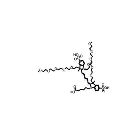 COCCOCCOCCOCCOCCC1(C)C(/C=C/C=C/C=C2/N(CCCCCC(=O)O)c3ccc(S(=O)(=O)O)cc3C2(C)CCOCCOCCOCCOCCOC)=[N+](CCOC)c2ccc(S(=O)(=O)O)cc21